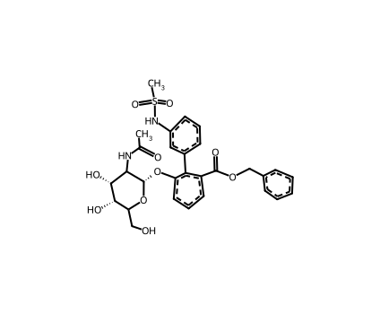 CC(=O)NC1[C@H](Oc2cccc(C(=O)OCc3ccccc3)c2-c2cccc(NS(C)(=O)=O)c2)OC(CO)[C@H](O)[C@@H]1O